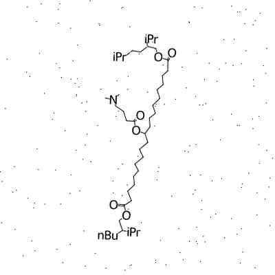 CCCCC(COC(=O)CCCCCCCCCC(CCCCCCCCCC(=O)OCC(CCC(C)C)C(C)C)OC(=O)CCCN(C)C)C(C)C